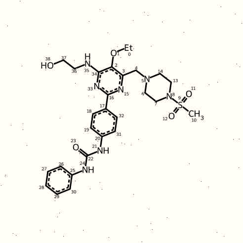 CCOc1c(CN2CCN(S(C)(=O)=O)CC2)nc(-c2ccc(NC(=O)Nc3ccccc3)cc2)nc1NCCO